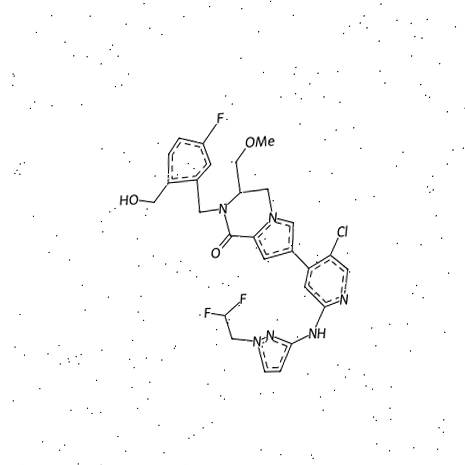 COCC1Cn2cc(-c3cc(Nc4ccn(CC(F)F)n4)ncc3Cl)cc2C(=O)N1Cc1cc(F)ccc1CO